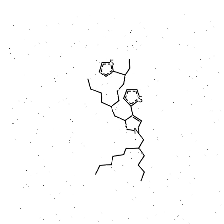 CCCCCCC(CCCC)CN1C=C(c2cccs2)C(CC(CCCC)CCCC(CC)c2cccs2)C1